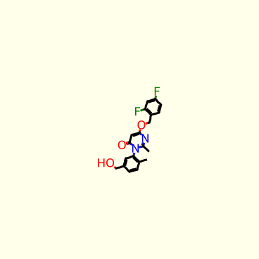 Cc1ccc(CO)cc1-n1c(C)nc(OCc2ccc(F)cc2F)cc1=O